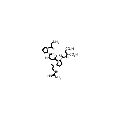 N=C(N)NCCC[C@H](NC(=O)[C@@H]1CCCN1C(=O)CN)C(=O)N1CCC[C@H]1C(=O)N[C@@H](CC(=O)O)C(=O)O